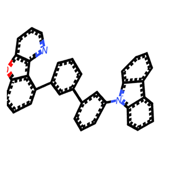 c1cc(-c2cccc(-n3c4ccccc4c4ccccc43)c2)cc(-c2cccc3oc4cccnc4c23)c1